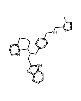 Cn1cccc1CNCc1ccc(CN(Cc2nc3ccccc3[nH]2)C2CCCc3cccnc32)cc1